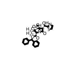 CC1(C)[C@H](C(=O)OC(c2ccccc2)c2ccccc2)N2C(=O)[C@@H](C(O)c3nccs3)[C@H]2S1(=O)=O